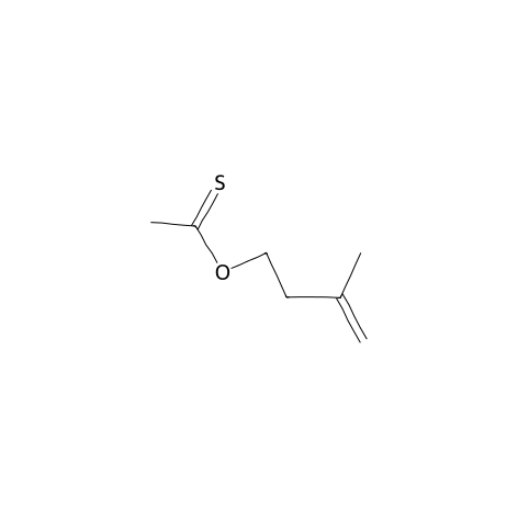 C=C(C)CCOC(C)=S